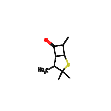 CC1C(=O)C2C1SC(C)(C)C2C(=O)O